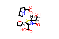 C[C@@H](O)[C@H]1C(=O)N2C(C(=O)O)=C([C@H]3CCCO3)S[C@H]12.O=C(O)C1=CCC2CCN12